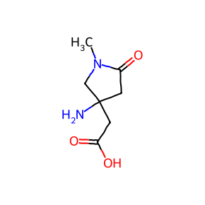 CN1CC(N)(CC(=O)O)CC1=O